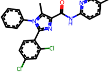 Cc1ccc(NC(=O)c2nc(-c3ccc(Cl)cc3Cl)n(-c3cc[c]cc3)c2C)nc1